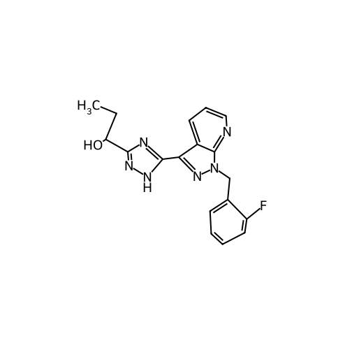 CCC(O)c1n[nH]c(-c2nn(Cc3ccccc3F)c3ncccc23)n1